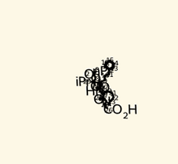 CCCC(=O)OC(OP(=O)(CCCCc1ccccc1)N[C@H]1CCCCN(CC(=O)O)C1=O)C(C)C